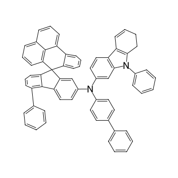 C1=Cc2c(n(-c3ccccc3)c3cc(N(c4ccc(-c5ccccc5)cc4)c4ccc5c(c4)C4(c6ccccc6-c6cccc7cccc4c67)c4cccc(-c6ccccc6)c4-5)ccc23)CC1